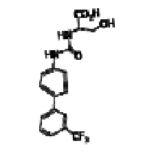 O=C(Nc1ccc(-c2cccc(C(F)(F)F)c2)cc1)NC(CO)C(=O)O